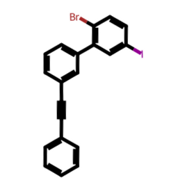 Brc1ccc(I)cc1-c1cccc(C#Cc2ccccc2)c1